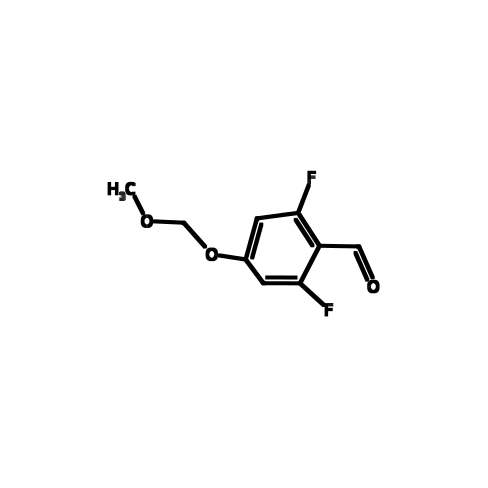 COCOc1cc(F)c(C=O)c(F)c1